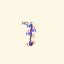 O=C(O)CNC(=O)CNC(=O)CNC(=O)CCCCCN1C(=O)C=CC1=O